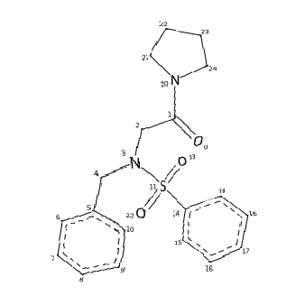 O=C(CN(Cc1ccccc1)S(=O)(=O)c1ccccc1)N1CCCC1